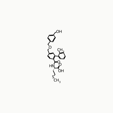 CSCC[C@H](NC(=O)c1ccc(COCc2ccc(CO)cc2)cc1-c1ccccc1C)C(=O)O